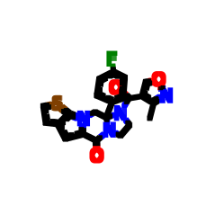 Cc1nocc1C(=O)N1CCN2C(=O)c3cc4ccsc4n3CC12c1ccc(F)cc1